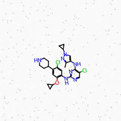 Cc1nn(C2CC2)cc1Nc1nc(Nc2cc(Cl)c(C3CCNCC3)cc2OC2CC2)ncc1Cl